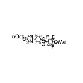 CCCCCCCCOc1cnc(-c2ccc(OC(=O)c3cc(F)c(OC)c(F)c3F)cc2)nc1